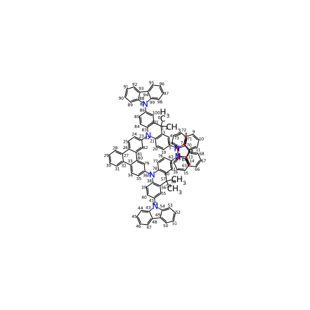 CC1(C)c2cc(-n3c4ccccc4c4ccccc43)ccc2N(c2ccc3c4ccccc4c4ccc(N5c6ccc(-n7c8ccccc8c8ccccc87)cc6C(C)(C)c6cc(-n7c8ccccc8c8ccccc87)ccc65)cc4c3c2)c2ccc(-n3c4ccccc4c4ccccc43)cc21